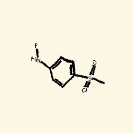 CS(=O)(=O)c1ccc(NF)cc1